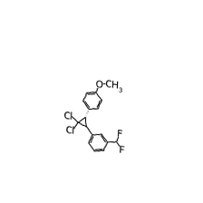 COc1ccc([C@@H]2C(c3cccc(C(F)F)c3)C2(Cl)Cl)cc1